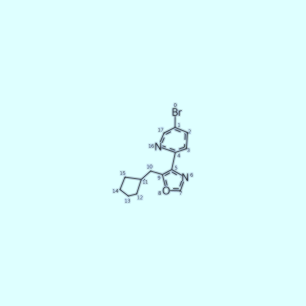 Brc1ccc(-c2ncoc2C[C]2CCCC2)nc1